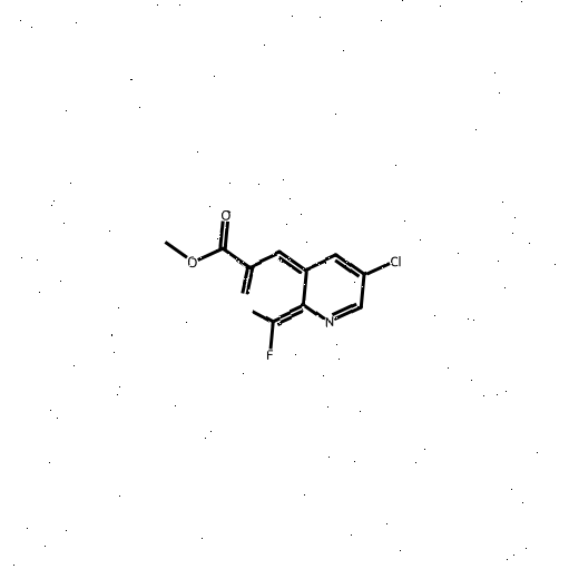 C=C(/C=c1/cc(Cl)cn/c1=C(/C)F)C(=O)OC